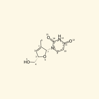 CC1=C[C@@H](CO)O[C@H]1n1ccc(=O)[nH]c1=O